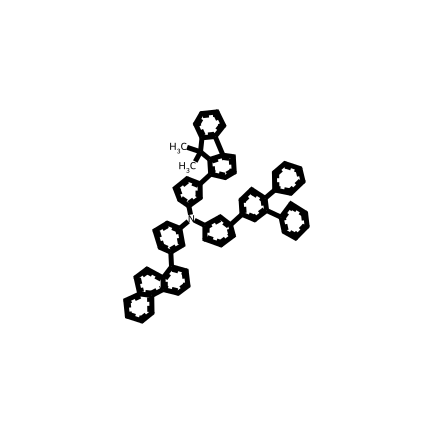 CC1(C)c2ccccc2-c2cccc(-c3cccc(N(c4cccc(-c5ccc(-c6ccccc6)c(-c6ccccc6)c5)c4)c4cccc(-c5cccc6c5ccc5ccccc56)c4)c3)c21